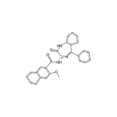 COc1cc2ccccc2cc1C(=O)N[C@H]1N=C(c2ccccc2)c2ccccc2NC1=O